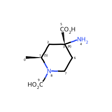 C[C@H]1C[C@@](N)(C(=O)O)CCN1C(=O)O